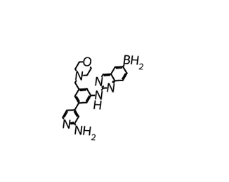 Bc1ccc2nc(Nc3cc(CN4CCOCC4)cc(-c4ccnc(N)c4)c3)ncc2c1